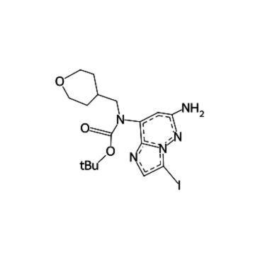 CC(C)(C)OC(=O)N(CC1CCOCC1)c1cc(N)nn2c(I)cnc12